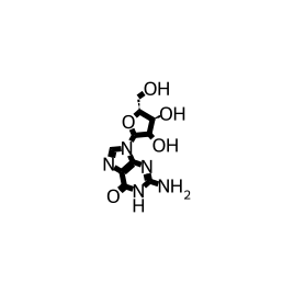 Nc1nc2c(ncn2C2O[C@H](CO)[C@H](O)C2O)c(=O)[nH]1